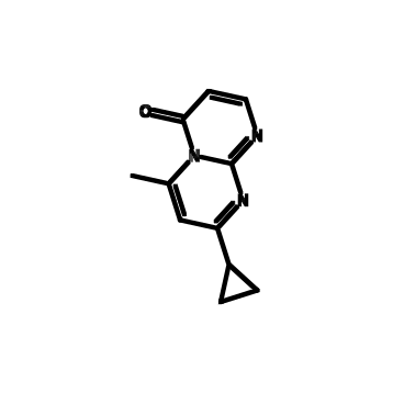 Cc1cc(C2CC2)nc2nccc(=O)n12